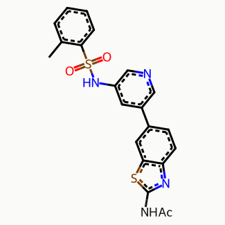 CC(=O)Nc1nc2ccc(-c3cncc(NS(=O)(=O)c4ccccc4C)c3)cc2s1